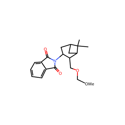 COCOCC1C(N2C(=O)c3ccccc3C2=O)CC2CC1C2(C)C